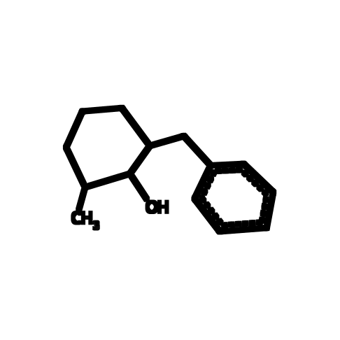 CC1CCCC(Cc2ccccc2)C1O